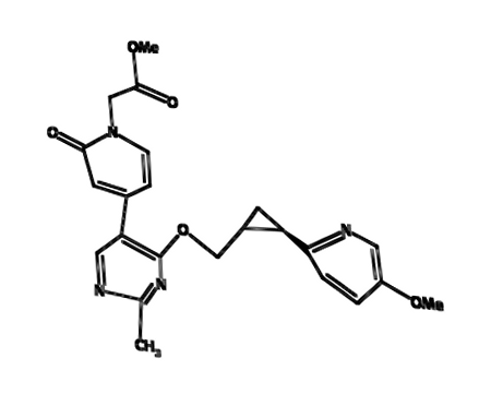 COC(=O)Cn1ccc(-c2cnc(C)nc2OCC2C[C@H]2c2ccc(OC)cn2)cc1=O